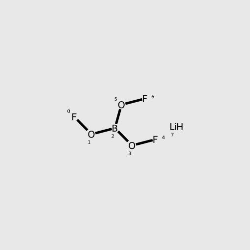 FOB(OF)OF.[LiH]